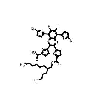 CCCCCCC(CCCC)COC(=O)c1ccc(-c2nc3c(-c4ccc(Br)s4)c(F)c(F)c(-c4ccc(Br)s4)c3nc2-c2ccc(C(=O)O)s2)s1